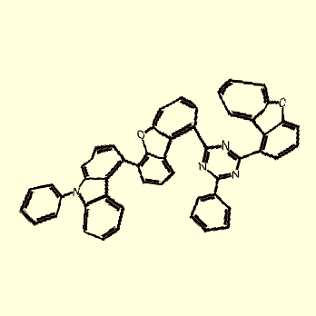 c1ccc(-c2nc(-c3cccc4oc5ccccc5c34)nc(-c3cccc4oc5c(-c6cccc7c6c6ccccc6n7-c6ccccc6)cccc5c34)n2)cc1